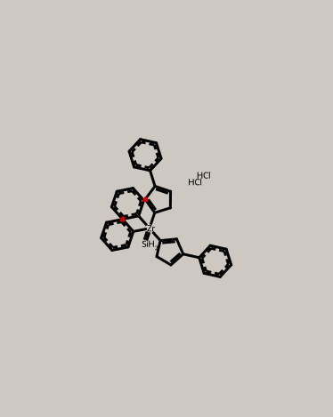 Cl.Cl.[SiH2]=[Zr]([C]1=CC(c2ccccc2)=CC1)([C]1=CC(c2ccccc2)=CC1)([c]1ccccc1)[c]1ccccc1